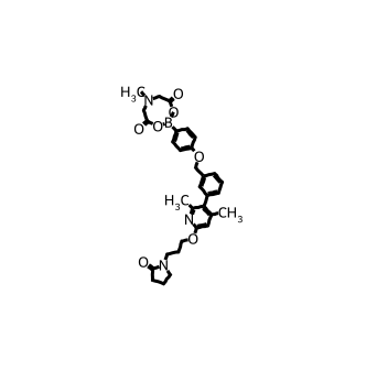 Cc1cc(OCCCN2CCCC2=O)nc(C)c1-c1cccc(COc2ccc(B3OC(=O)CN(C)CC(=O)O3)cc2)c1